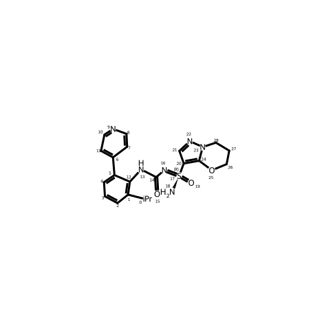 CC(C)c1cccc(-c2ccncc2)c1NC(=O)N=[S@@](N)(=O)c1cnn2c1OCCC2